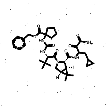 CC(C)(C)[C@H](NC(=O)NC1(C(=O)OCc2ccccc2)CCCC1)C(=O)N1C[C@H]2[C@@H]([C@H]1C(=O)NC(CC1CC1)C(=O)C(N)=O)C2(C)C